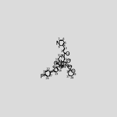 O=C(C=Cc1cccnc1)N1CCN(S(=O)(=O)c2ccc(-c3ccc(F)cc3)s2)[C@](I)(C(=O)NOC2CCCCO2)C1